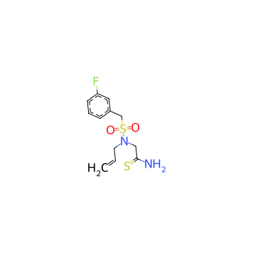 C=CCN(CC(N)=S)S(=O)(=O)Cc1cccc(F)c1